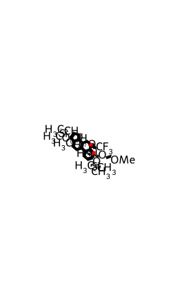 COCCOCN(C[C@]12CC=C(O[Si](C)(C)C)C=C1CC[C@@H]1[C@@H]2CC[C@]2(C)C(O[Si](C)(C)C)=CC[C@@H]12)C(=O)C(F)(F)F